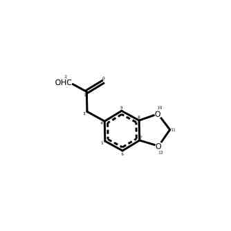 C=C(C=O)Cc1ccc2c(c1)OCO2